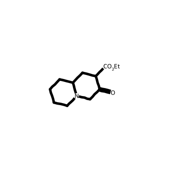 CCOC(=O)C1CC2CCCCN2CC1=O